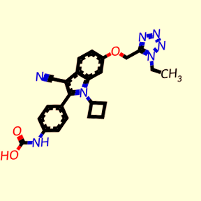 CCn1nnnc1COc1ccc2c(C#N)c(-c3ccc(NC(=O)O)cc3)n(C3CCC3)c2c1